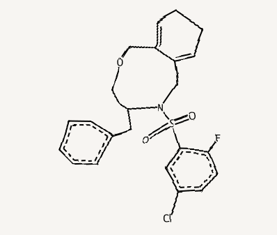 O=S(=O)(c1cc(Cl)ccc1F)N1CC2=CCCC=C2COCC1Cc1ccccc1